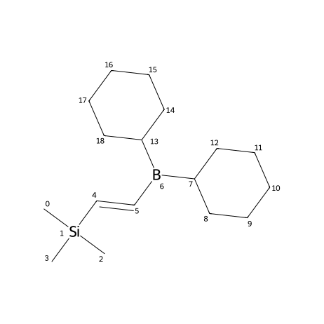 C[Si](C)(C)C=CB(C1CCCCC1)C1CCCCC1